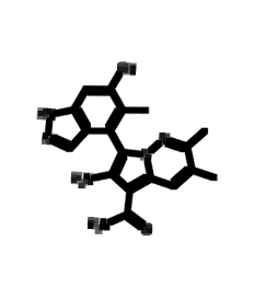 Cc1cc2c(C(N)=O)c(N)c(-c3c(C)c(O)cc4[nH]ncc34)n2nc1C